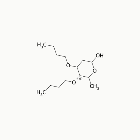 CCCCOC1CC(O)OC(C)[C@@H]1OCCCC